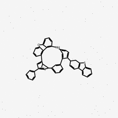 CC1C2=CC(c3ccccc3)=CC1c1cccc(c1)-c1cc(ccc1C1C=Cc3c(sc4ccccc34)C1)Nc1cccc3oc4cccc2c4c13